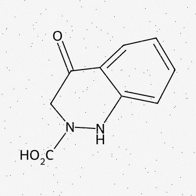 O=C1CN(C(=O)O)Nc2ccccc21